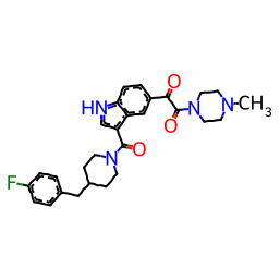 CN1CCN(C(=O)C(=O)c2ccc3[nH]cc(C(=O)N4CCC(Cc5ccc(F)cc5)CC4)c3c2)CC1